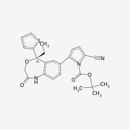 CC[C@]1(c2cccs2)OCC(=O)Nc2ccc(-c3ccc(C#N)n3C(=O)OC(C)(C)C)cc21